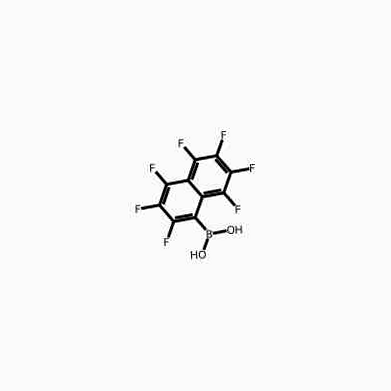 OB(O)c1c(F)c(F)c(F)c2c(F)c(F)c(F)c(F)c12